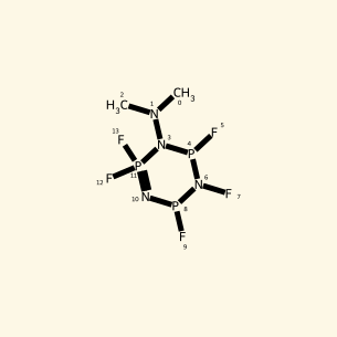 CN(C)N1P(F)N(F)P(F)N=P1(F)F